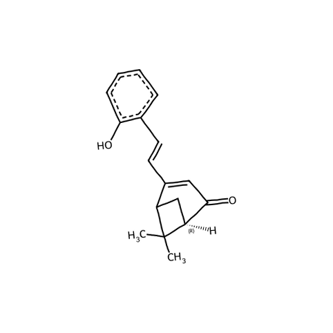 CC1(C)C2C[C@H]1C(=O)C=C2C=Cc1ccccc1O